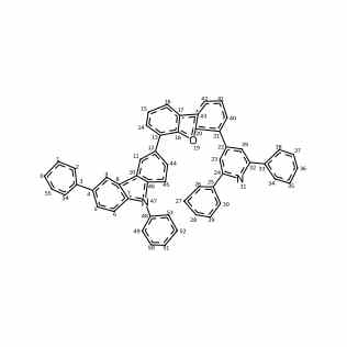 c1ccc(-c2ccc3c(c2)c2cc(-c4cccc5c4oc4c(-c6cc(-c7ccccc7)nc(-c7ccccc7)c6)cccc45)ccc2n3-c2ccccc2)cc1